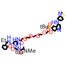 CC[C@@H](NC(=O)[C@@H]1C[C@H](NC(=O)COCCOCCOCCOCCOc2cc3nccc(Nc4ccc5scnc5c4)c3cc2S(=O)(=O)C(C)(C)C)CN1C(=O)[C@@H](NC(=O)[C@H](C)NC)C(C)(C)C)c1ccccc1